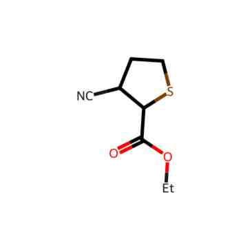 CCOC(=O)C1SCCC1C#N